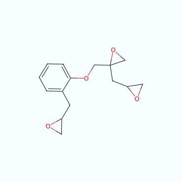 c1ccc(OCC2(CC3CO3)CO2)c(CC2CO2)c1